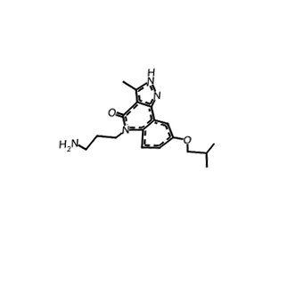 Cc1[nH]nc2c1c(=O)n(CCCN)c1ccc(OCC(C)C)cc21